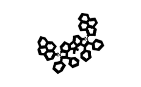 CC1(C)c2c(ccc3c2c(-c2ccccc2)c(-c2ccccc2)n3-c2ccc3ccc4c5c3c2CC=C5CC=C4)-c2ccc3c(c(-c4ccccc4)c(-c4ccccc4)n3-c3ccc4c5c6c(ccc35)C=CCC6=CC4)c21